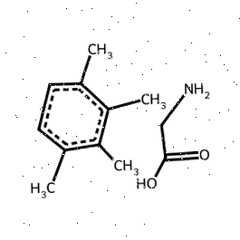 Cc1ccc(C)c(C)c1C.NCC(=O)O